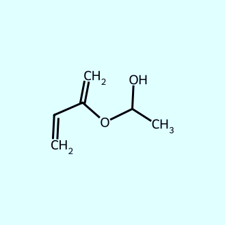 C=CC(=C)OC(C)O